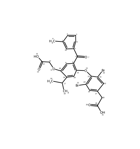 Cc1cccc(C(=O)c2cc(OCC(=O)O)c(C(C)C)cc2Oc2c(Br)cc(CC(=O)O)cc2Br)c1